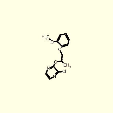 COc1ccccc1OCC(C)Oc1nccnc1Cl